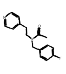 CC(=O)N(CCc1ccncc1)Cc1ccc(F)cc1